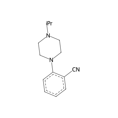 CC(C)N1CCN(c2ccccc2C#N)CC1